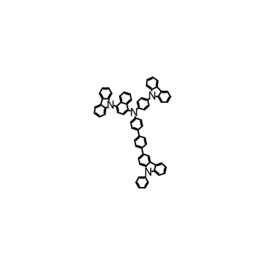 c1ccc(-n2c3ccccc3c3cc(-c4ccc(-c5ccc(N(c6ccc(-n7c8ccccc8c8ccccc87)cc6)c6ccc(-n7c8ccccc8c8ccccc87)c7ccccc67)cc5)cc4)ccc32)cc1